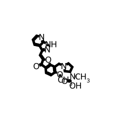 COc1ccc2c(c1CN1CC[C@H](N(C)C(=O)O)C1)OC(=Cc1n[nH]c3ncccc13)C2=O